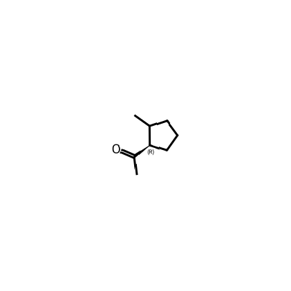 CC(=O)[C@@H]1CCCC1C